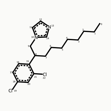 CCCCCCCCC(Cn1ccnc1)c1ccc(Cl)cc1Cl